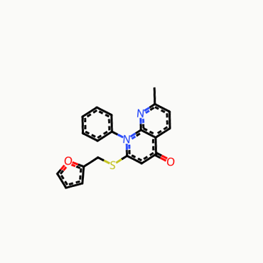 Cc1ccc2c(=O)cc(SCc3ccco3)n(-c3ccccc3)c2n1